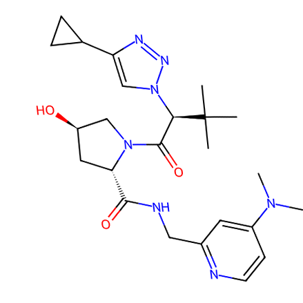 CN(C)c1ccnc(CNC(=O)[C@@H]2C[C@@H](O)CN2C(=O)[C@@H](n2cc(C3CC3)nn2)C(C)(C)C)c1